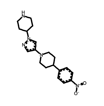 O=[N+]([O-])c1ccc(C2CCN(c3cnn(C4CCNCC4)c3)CC2)cc1